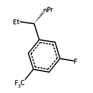 CCC[C@@H](CC)c1cc(F)cc(C(F)(F)F)c1